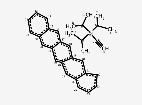 C#C[Si](C(C)C)(C(C)C)C(C)C.c1ccc2cc3cc4cc5ccccc5cc4cc3cc2c1